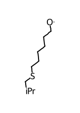 CC(C)CSCCCCCC[O]